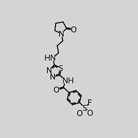 O=C(Nc1nnc(NCCCN2CCCC2=O)s1)c1ccc(S(=O)(=O)F)cc1